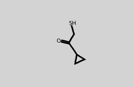 O=C(CS)C1CC1